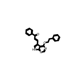 O=C(C=Cc1c[nH]c2ncnc(OCCc3ccccc3)c12)c1ccccc1